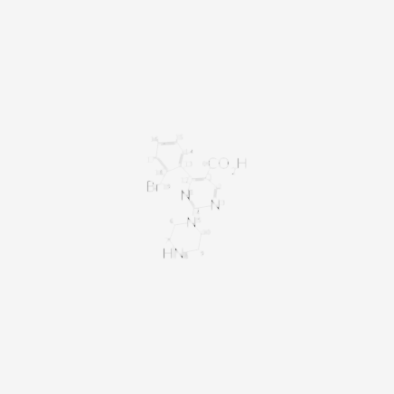 O=C(O)c1cnc(N2CCNCC2)nc1-c1ccccc1Br